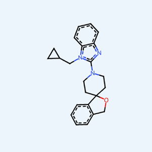 c1ccc2c(c1)COC21CCN(c2nc3ccccc3n2CC2CC2)CC1